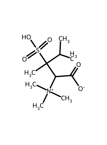 CC(C)C(C)(C(C(=O)[O-])[N+](C)(C)C)S(=O)(=O)O